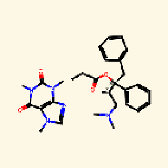 CCC(=O)O[C@](Cc1ccccc1)(c1ccccc1)[C@H](C)CN(C)C.Cn1c(=O)c2c(ncn2C)n(C)c1=O